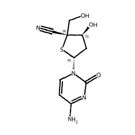 N#C[C@]1(CO)S[C@@H](n2ccc(N)nc2=O)C[C@@H]1O